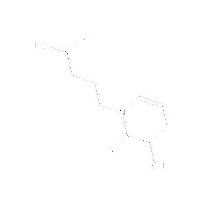 O=C(O)CCCn1cccc(O)c1=O